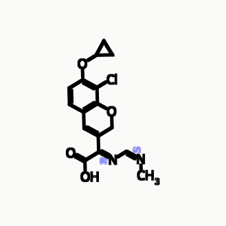 C/N=C\N=C(\C(=O)O)C1=Cc2ccc(OC3CC3)c(Cl)c2OC1